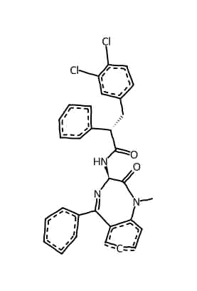 CN1C(=O)[C@H](NC(=O)[C@@H](Cc2ccc(Cl)c(Cl)c2)c2ccccc2)N=C(c2ccccc2)c2ccccc21